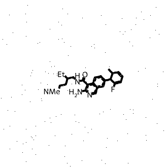 CCC(CCNC)CNC(=O)c1c(N)ncc2cc(C3C(F)=CC=CC3C)ccc12